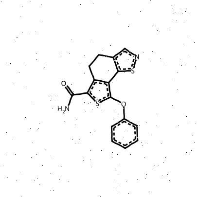 NC(=O)c1sc(Oc2ccccc2)c2c1CCc1cnsc1-2